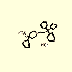 Cl.O=C(O)OC1(c2ccccc2)CCN(CCC(c2ccccc2)(c2ccccc2)c2ccccc2)CC1